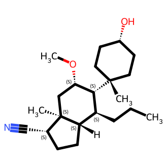 CCC[C@H]1[C@@H]2CC[C@H](C#N)[C@@]2(C)C[C@H](OC)[C@@H]1[C@]1(C)CC[C@H](O)CC1